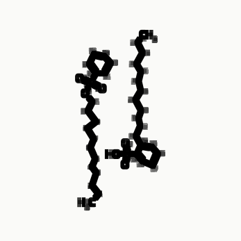 CCCCCCCCCCCCOS(=O)(=O)c1ccccc1.CCCCCCCCCCCCc1ccccc1S(=O)(=O)O